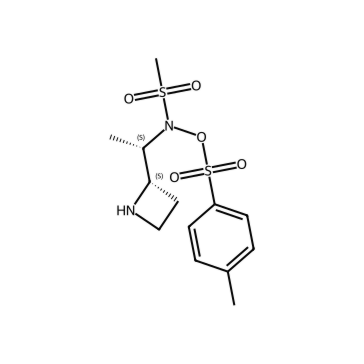 Cc1ccc(S(=O)(=O)ON([C@@H](C)[C@@H]2CCN2)S(C)(=O)=O)cc1